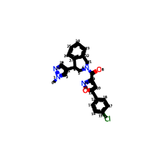 Cn1cc(C2CN(C(=O)c3cc(-c4ccc(Cl)cc4)on3)Cc3ccccc32)cn1